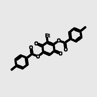 CCC1=C(OC(=O)c2ccc(C)cc2)C(=O)C=C(OC(=O)c2ccc(C)cc2)C1=O